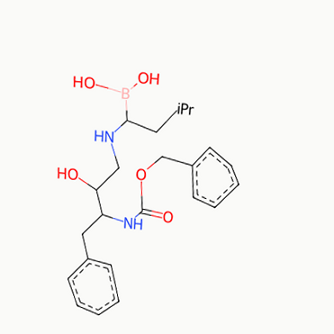 CC(C)CC(NCC(O)C(Cc1ccccc1)NC(=O)OCc1ccccc1)B(O)O